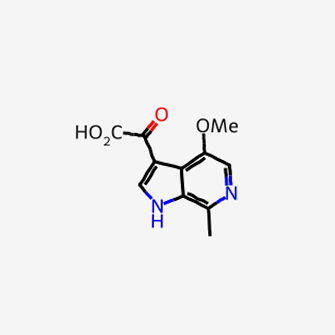 COc1cnc(C)c2[nH]cc(C(=O)C(=O)O)c12